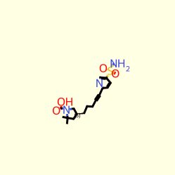 CC1(C)C[C@H](CCCC#Cc2ccc(S(N)(=O)=O)cn2)CN1C(=O)O